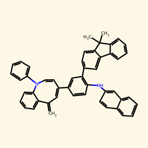 C=C1/C=C(c2ccc(Nc3ccc4ccccc4c3)c(-c3ccc4c(c3)-c3ccccc3C4(C)C)c2)\C=C/N(c2ccccc2)c2ccccc21